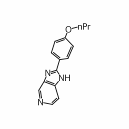 CCCOc1ccc(-c2nc3cnccc3[nH]2)cc1